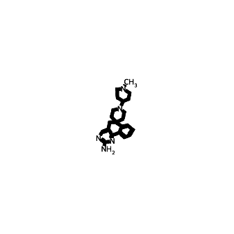 CN1CCC(N2CCC3(CC2)Cc2cnc(N)nc2-c2ccccc23)CC1